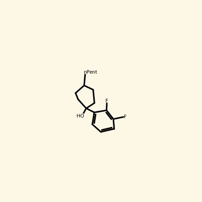 CCCCCC1CCC(O)(c2cccc(F)c2F)CC1